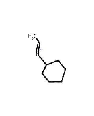 C/C=N/C1CCCCC1